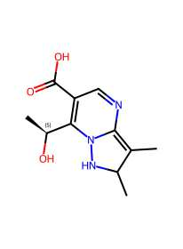 CC1=C2N=CC(C(=O)O)=C([C@H](C)O)N2NC1C